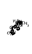 Cc1nn(C)c(Cl)c1C(=O)N[C@@H]1CCN(C(=O)c2cc(Cl)c3nccnc3c2)C[C@@H]1C1C=CC=CC1